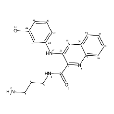 NCCCNC(=O)c1nc2ccccc2nc1Nc1cccc(Cl)c1